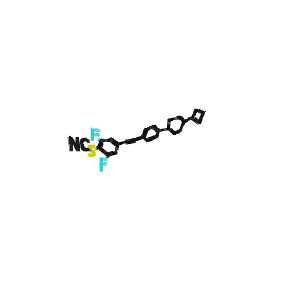 N#CSc1c(F)cc(C#Cc2ccc(C3CCC(C4CCC4)CC3)cc2)cc1F